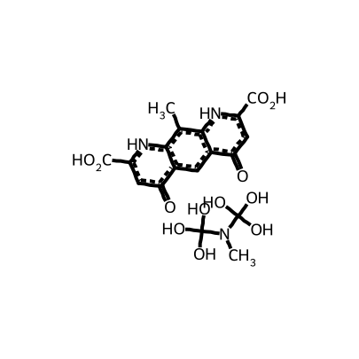 CN(C(O)(O)O)C(O)(O)O.Cc1c2[nH]c(C(=O)O)cc(=O)c2cc2c(=O)cc(C(=O)O)[nH]c12